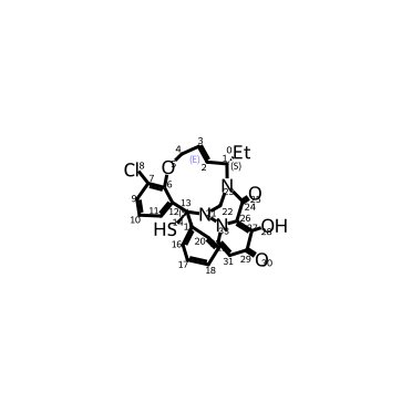 CC[C@H]1/C=C/COc2c(Cl)cccc2[C@@](S)(c2ccccc2)N2CN1C(=O)c1c(O)c(=O)ccn12